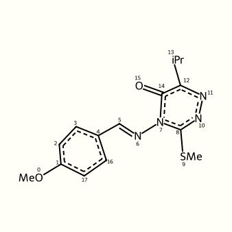 COc1ccc(C=Nn2c(SC)nnc(C(C)C)c2=O)cc1